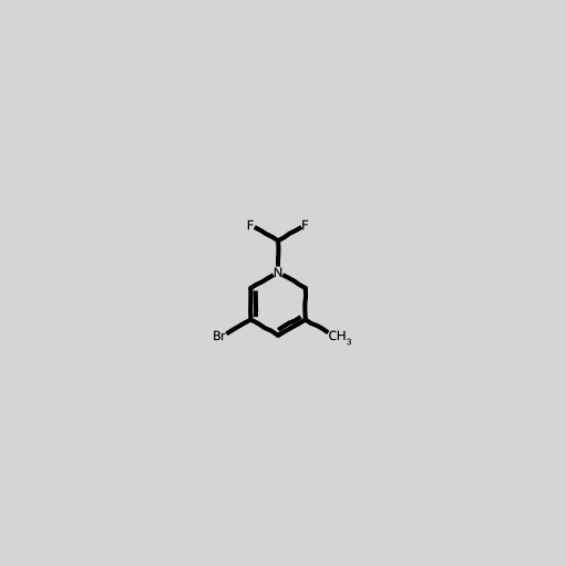 CC1=CC(Br)=CN(C(F)F)C1